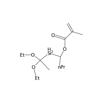 C=C(C)C(=O)OC(CCC)[SiH2]C(C)(OCC)OCC